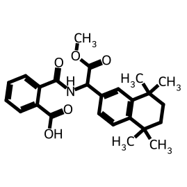 COC(=O)C(NC(=O)c1ccccc1C(=O)O)c1ccc2c(c1)C(C)(C)CCC2(C)C